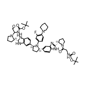 CC(C)(C)OC(=O)NCC(=O)N1CCC[C@H]1c1nc2cc([C@@H]3CC[C@@H](c4ccc5c(c4)NC([C@@H]4CCCN4C(C=O)NC(=O)OC(C)(C)C)N5)N3c3ccc(N4CCCCC4)c(F)c3)ccc2[nH]1